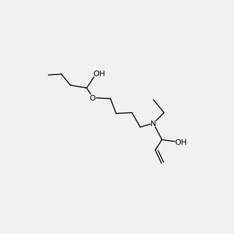 C=CC(O)N(CC)CCCCOC(O)CCC